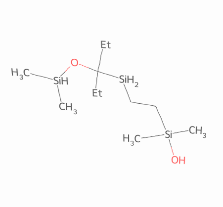 CCC(CC)(O[SiH](C)C)[SiH2]CC[Si](C)(C)O